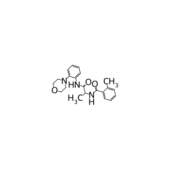 Cc1ccccc1C(=O)NC(C)C(=O)Nc1ccccc1N1CCOCC1